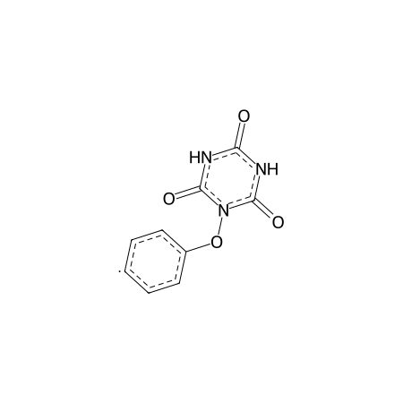 O=c1[nH]c(=O)n(Oc2cc[c]cc2)c(=O)[nH]1